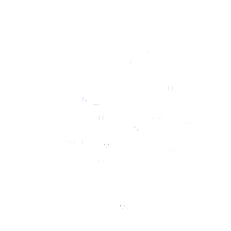 COCCOCCOCCOCCC1(C)\C(=C/C=C/C=C/C2=[N+](CCOC)c3ccc4c(S(=O)(=O)O)cc(S(=O)(=O)O)cc4c3C2(C)CCCS(=O)(=O)O)N(CCCCCC(=O)Oc2c(F)c(F)cc(F)c2F)c2ccc3c(S(=O)(=O)[O-])cc(S(=O)(=O)O)cc3c21